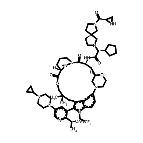 CO[C@@H](C)c1ncc(N2CCN(C3CC3)CC2)cc1-c1c2c3cc(ccc3n1CC(F)(F)F)N1CCO[C@@H](C[C@H](NC(=O)[C@H](C3CCCC3)N3CC[C@]4(CCN(C(=O)[C@H]5CN5)C4)C3)C(=O)N3CCC[C@H](N3)C(=O)OCC(C)(C)C2)C1